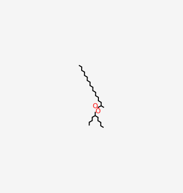 CCCCCCCCCCCCCCCCC(C)C(=O)OCC(CCCC)CCCCC